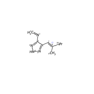 C=Nc1n[nH]nc1/C=C(\C)C(C)C